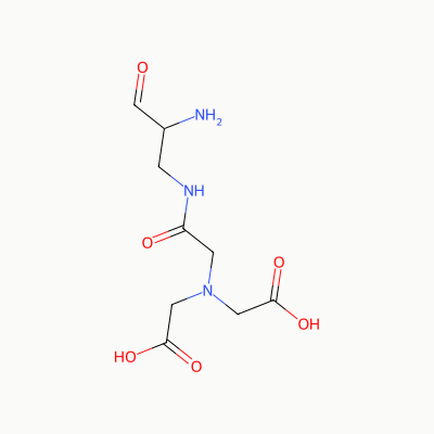 NC(C=O)CNC(=O)CN(CC(=O)O)CC(=O)O